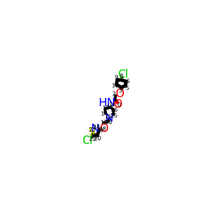 O=C(COc1ccc(Cl)cc1)NC1CCN(CCOc2cc(Cl)sn2)CC1